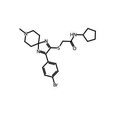 CN1CCC2(CC1)N=C(SCC(=O)NC1CCCC1)C(c1ccc(Br)cc1)=N2